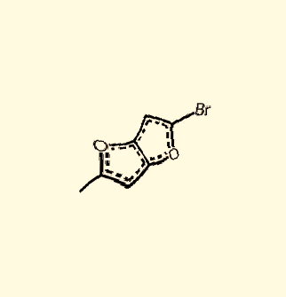 Cc1cc2oc(Br)cc2o1